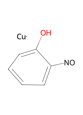 O=Nc1ccccc1O.[Cu]